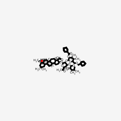 COC(=O)[C@]12CCC(C)(C)CC1C1=CCC3C4(C)CC[C@H](O[C@@H]5OC(C(C)=O)[C@@H](C)[C@H](O[C@@H]6OC[C@@H](C)[C@H](C)C6C)C5O[C@@H]5OC(COCc6ccccc6)[C@H](C)[C@H](C)C5OC(=O)c5ccccc5)[C@](C)(C=O)[C@@H]4CCC3(C)[C@]1(C)CC2O